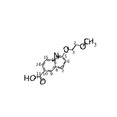 COCCOc1ccc2cc(C(=O)O)ccc2n1